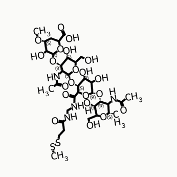 CO[C@H]1CC(C(=O)O)O[C@@H](O[C@@H]2C(NC(C)=O)[C@H](O[C@@H]3C(C(=O)NCNC(=O)CCSSC)O[C@@H](O[C@@H]4C(NC(C)=O)[C@H](C)OC(CO)[C@H]4O)C(O)[C@H]3O)OC(CO)[C@H]2O)C1O